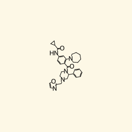 O=C(Nc1ccc(C(=O)N2CCN(Cc3ncco3)CC2c2ccccc2)c(N2CCCCCC2)c1)C1CC1